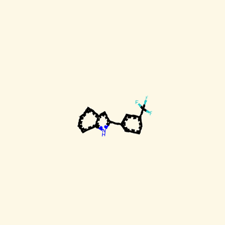 FC(F)(F)c1cccc(-c2cc3c[c]ccc3[nH]2)c1